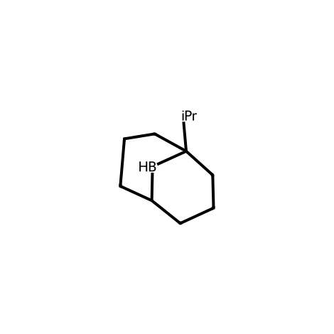 CC(C)C12BC(CCC1)CCC2